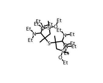 CCO[Si](C)(CC(C)(SC(C)(C[Si](C)(OCC)OCC)C(N(CC)CC)N(CC)CC)C(N(CC)CC)N(CC)CC)OCC